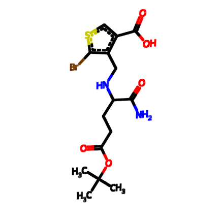 CC(C)(C)OC(=O)CCC(NCc1c(C(=O)O)csc1Br)C(N)=O